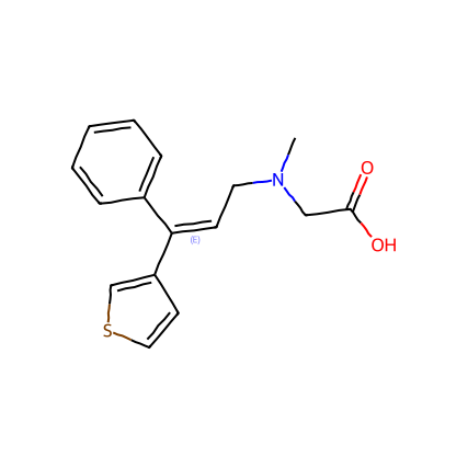 CN(C/C=C(\c1ccccc1)c1ccsc1)CC(=O)O